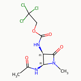 CC(=O)N[C@H]1[C@@H](NC(=O)OCC(Cl)(Cl)Cl)C(=O)N1C